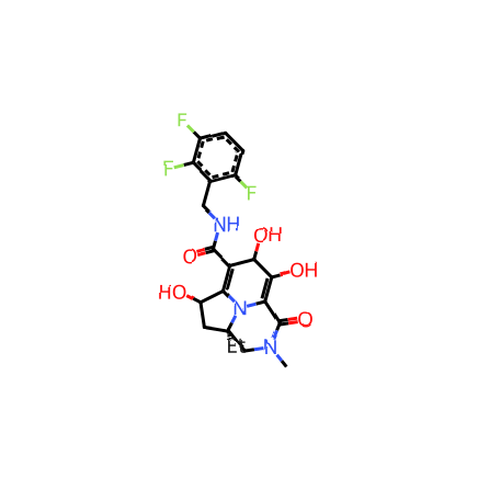 CCC12CC(O)C3=C(C(=O)NCc4c(F)ccc(F)c4F)C(O)C(O)=C(C(=O)N(C)C1)N32